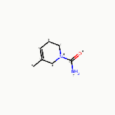 CC1=CCCN(C(N)=O)C1